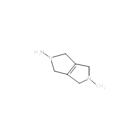 CN1CC2=C(C1)CN(N)C2